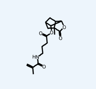 C=C(C)C(=O)NCCCC(=O)OC1C2CC3C1OC(=O)C3(C)C2